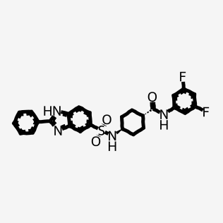 O=C(Nc1cc(F)cc(F)c1)[C@H]1CC[C@H](NS(=O)(=O)c2ccc3[nH]c(-c4ccccc4)nc3c2)CC1